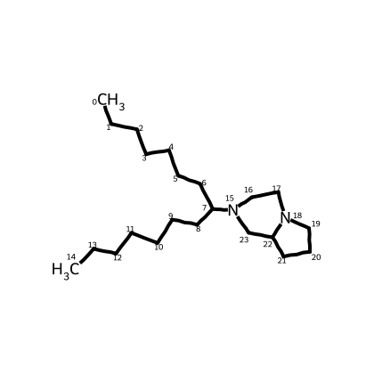 CCCCCCCC(CCCCCCC)N1CCN2CCCC2C1